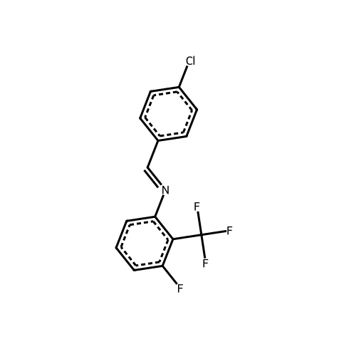 Fc1cccc(N=Cc2ccc(Cl)cc2)c1C(F)(F)F